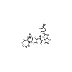 Cc1cc(NC(=O)C2(NC(=O)c3ccc(Br)s3)CCOC2)ccc1N1CCOCCC1=N